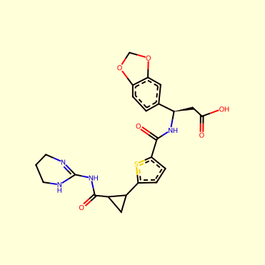 O=C(O)C[C@@H](NC(=O)c1ccc(C2CC2C(=O)NC2=NCCCN2)s1)c1ccc2c(c1)OCO2